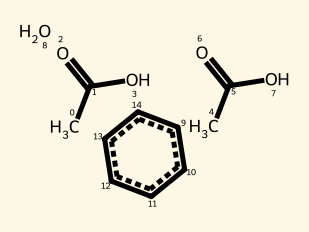 CC(=O)O.CC(=O)O.O.c1ccccc1